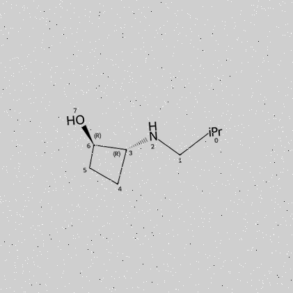 CC(C)CN[C@@H]1CC[C@H]1O